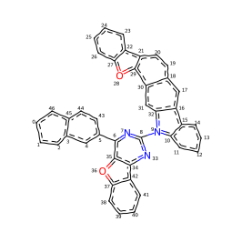 c1ccc2cc(-c3nc(-n4c5ccccc5c5cc6ccc7c8ccccc8oc7c6cc54)nc4c3oc3ccccc34)ccc2c1